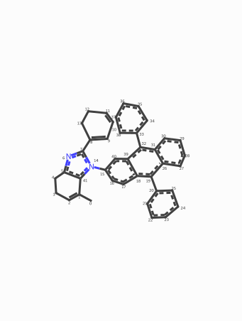 CC1=CCCc2nc(C3=CC=CCC3)n(-c3ccc4c(-c5ccccc5)c5ccccc5c(-c5ccccc5)c4c3)c21